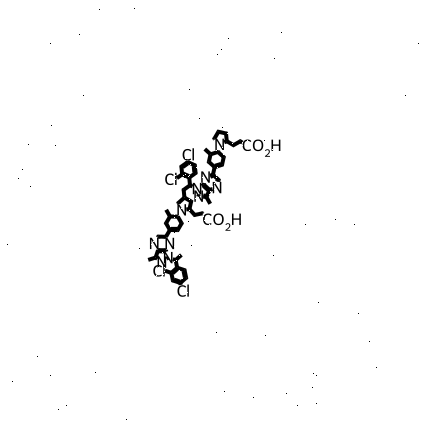 Cc1nn(C(C)c2ccc(Cl)cc2Cl)c2nc(C3=CCC(N4CC(CC(c5ccc(Cl)cc5Cl)n5nc(C)c6ncc(C7=CCC(N8CCCC8CCC(=O)O)C(C)C7)nc65)CC4CCC(=O)O)C(C)C3)cnc12